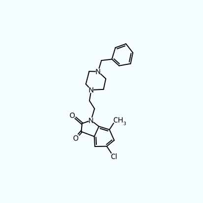 Cc1cc(Cl)cc2c1N(CCN1CCN(Cc3ccccc3)CC1)C(=O)C2=O